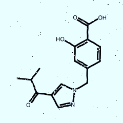 CC(C)C(=O)c1cnn(Cc2ccc(C(=O)O)c(O)c2)c1